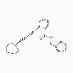 O=C(NCc1ccccc1)c1ccccc1C#CC#CC1CCCCC1